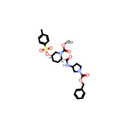 Cc1ccc(S(=O)(=O)O[C@H]2CC[C@@H](C(=O)NC3CCN(C(=O)OCc4ccccc4)C3)N(C(=O)OC(C)(C)C)C2)cc1